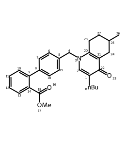 CCCCc1cn(Cc2ccc(-c3ccccc3C(=O)OC)cc2)c2c(c1=O)CC(C)CC2